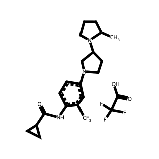 CC1CCCN1C1CCN(c2ccc(NC(=O)C3CC3)c(C(F)(F)F)c2)C1.O=C(O)C(F)(F)F